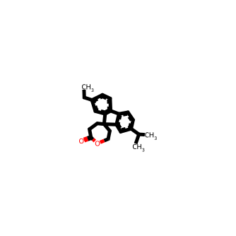 CCc1ccc2c(c1)C1(CCOC(=O)CC1)c1cc(C(C)C)ccc1-2